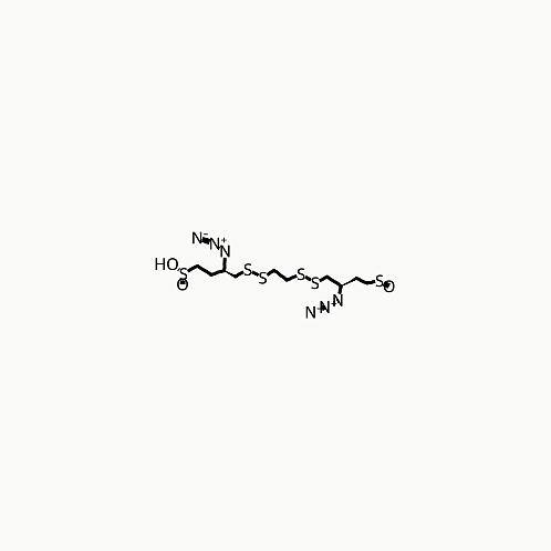 [N-]=[N+]=N[C@H](CC[S]=O)CSSCCSSC[C@@H](CCS(=O)O)N=[N+]=[N-]